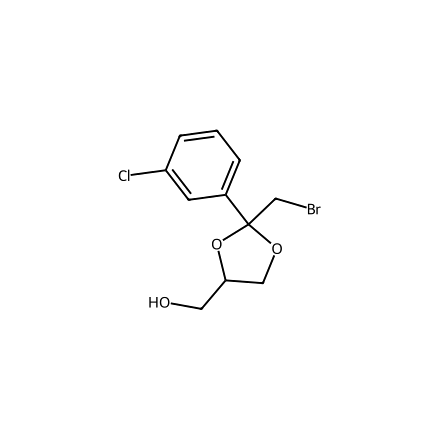 OCC1COC(CBr)(c2cccc(Cl)c2)O1